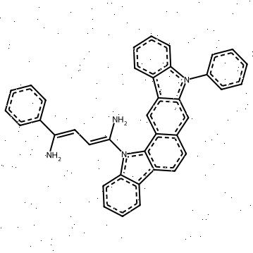 N/C(=C\C=C(/N)n1c2ccccc2c2ccc3cc4c(cc3c21)c1ccccc1n4-c1ccccc1)c1ccccc1